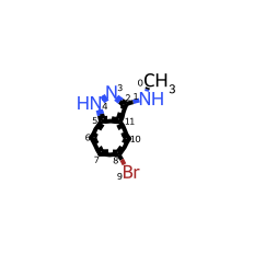 CNc1n[nH]c2ccc(Br)cc12